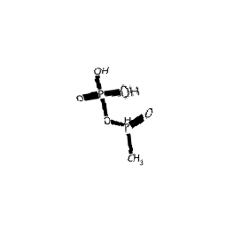 C[PH](=O)OP(=O)(O)O